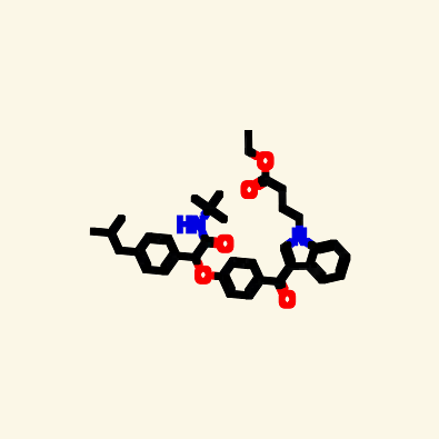 CCOC(=O)CCCn1cc(C(=O)c2ccc(OC(C(=O)NC(C)(C)C)c3ccc(CC(C)C)cc3)cc2)c2ccccc21